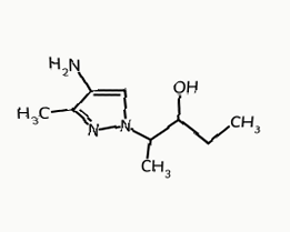 CCC(O)C(C)n1cc(N)c(C)n1